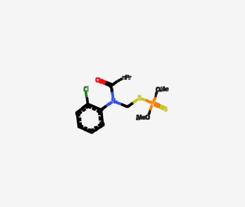 CCCC(=O)N(CSP(=S)(OC)OC)c1ccccc1Cl